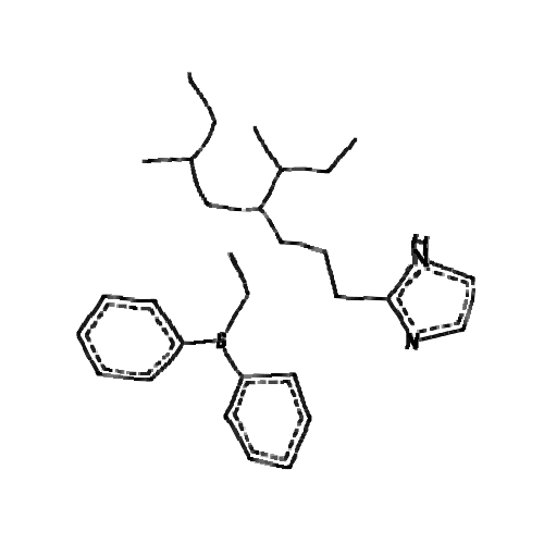 CCB(c1ccccc1)c1ccccc1.CCC(C)CC(CCCc1ncc[nH]1)C(C)CC